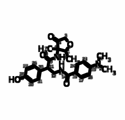 CC1OCC(=O)C1(C)NC(=O)C(CNC(=O)c1ccc(N(C)C)cc1)c1ccc(O)cc1